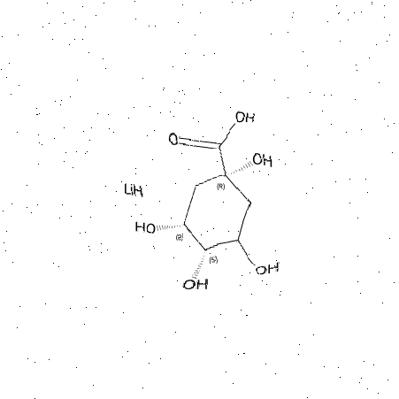 O=C(O)[C@@]1(O)CC(O)[C@H](O)[C@H](O)C1.[LiH]